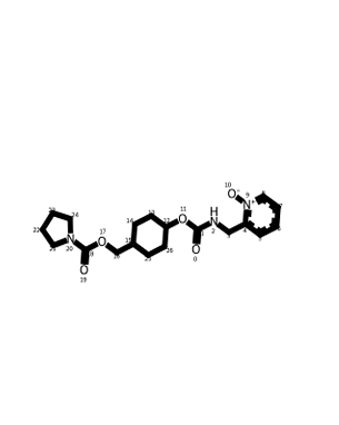 O=C(NCc1cccc[n+]1[O-])OC1CCC(COC(=O)N2CCCC2)CC1